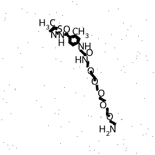 Cc1cnc(NC(=O)c2ccc(NCC(=O)NCCOCCOCCOCCOCCOCCN)cc2C)s1